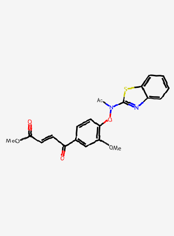 COC(=O)/C=C/C(=O)c1ccc(ON(C(C)=O)c2nc3ccccc3s2)c(OC)c1